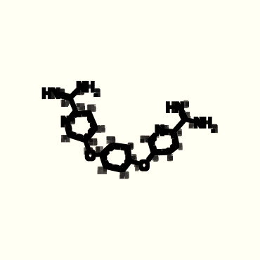 N=C(N)c1ccc(Oc2ccc(Oc3ccc(C(=N)N)nc3)cc2)cn1